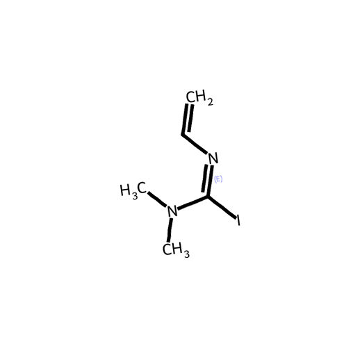 C=C/N=C(/I)N(C)C